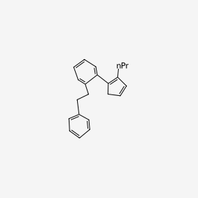 CCCC1=C(c2ccccc2CCc2ccccc2)CC=C1